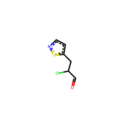 O=CC(Cl)Cc1ccns1